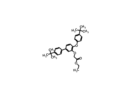 CCOC(=O)COc1cc(-c2ccc(C(C)(C)C)cc2)ccc1Oc1ccc(C(C)(C)C)cc1